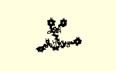 O=C(NC1=NC(NCCCC[C@H](NC(=O)OCc2ccccc2)C(=O)OCc2ccccc2)N([C@H]2CC[C@@H](CO[PH](=O)OCc3ccccc3)O2)C=C1)OCc1ccccc1